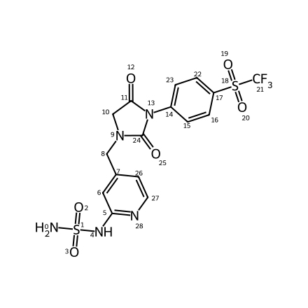 NS(=O)(=O)Nc1cc(CN2CC(=O)N(c3ccc(S(=O)(=O)C(F)(F)F)cc3)C2=O)ccn1